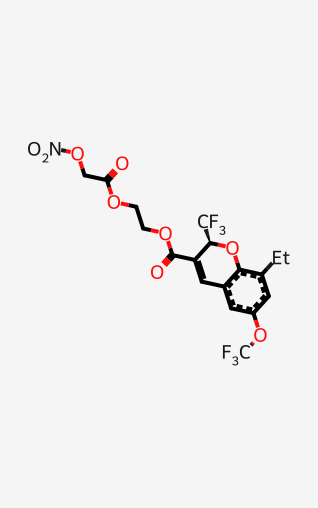 CCc1cc(OC(F)(F)F)cc2c1O[C@H](C(F)(F)F)C(C(=O)OCCOC(=O)CO[N+](=O)[O-])=C2